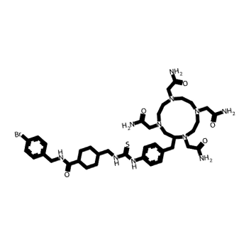 NC(=O)CN1CCN(CC(N)=O)CCN(CC(N)=O)C(Cc2ccc(NC(=S)NCC3CCC(C(=O)NCc4ccc(Br)cc4)CC3)cc2)CN(CC(N)=O)CC1